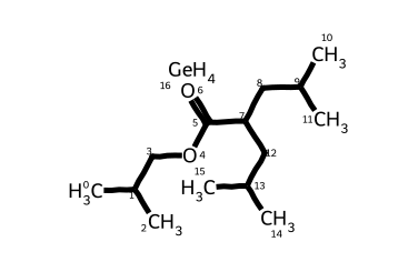 CC(C)COC(=O)C(CC(C)C)CC(C)C.[GeH4]